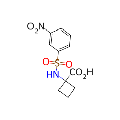 O=C(O)C1(NS(=O)(=O)c2cccc([N+](=O)[O-])c2)CCC1